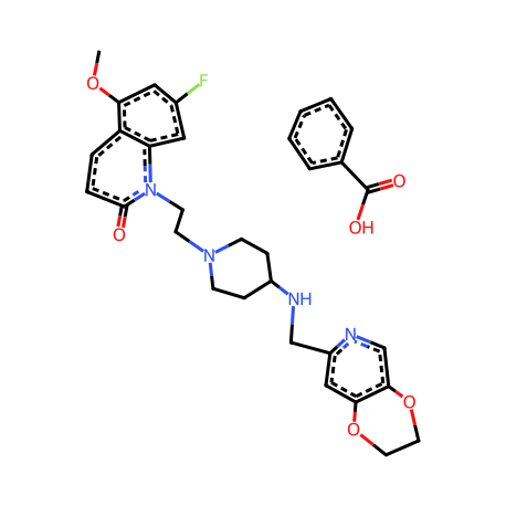 COc1cc(F)cc2c1ccc(=O)n2CCN1CCC(NCc2cc3c(cn2)OCCO3)CC1.O=C(O)c1ccccc1